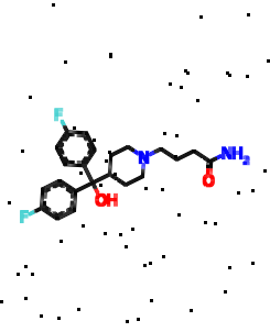 NC(=O)CCCN1CCC(C(O)(c2ccc(F)cc2)c2ccc(F)cc2)CC1